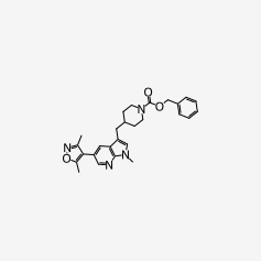 Cc1noc(C)c1-c1cnc2c(c1)c(CC1CCN(C(=O)OCc3ccccc3)CC1)cn2C